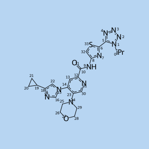 CC(C)n1nnnc1-c1nc(NC(=O)c2cc(-n3cnc(C4CC4)c3)c(N3CCOCC3)cn2)cs1